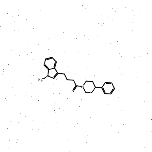 Cn1cc(CCCC(=O)N2C[CH][C](c3ccccc3)CC2)c2ccccc21